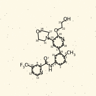 Cc1ccc(NC(=O)c2cc(C(F)(F)F)ccn2)cc1-c1cnc(OCCO)c(N2CCOCC2)c1